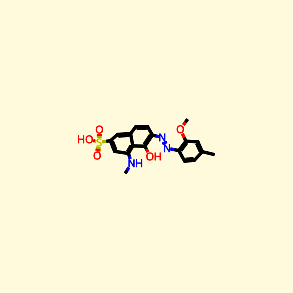 CNc1cc(S(=O)(=O)O)cc2ccc(N=Nc3ccc(C)cc3OC)c(O)c12